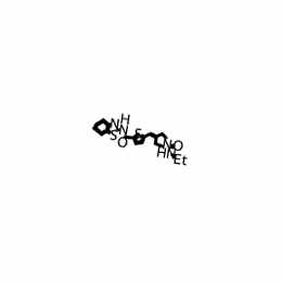 CCNC(=O)N1CCC(=Cc2ccc(C(=O)Nc3nc4ccccc4s3)s2)CC1